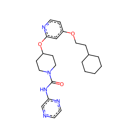 O=C(Nc1cnccn1)N1CCC(Oc2cc(OCCC3CCCCC3)ccn2)CC1